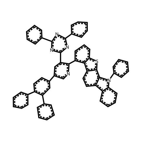 c1ccc(-c2nc(-c3ccccc3)nc(-c3cc(-c4ccc(-c5ccccc5)c(-c5ccccc5)c4)cnc3-c3cccc4sc5c(ccc6c7ccccc7n(-c7ccccc7)c65)c34)n2)cc1